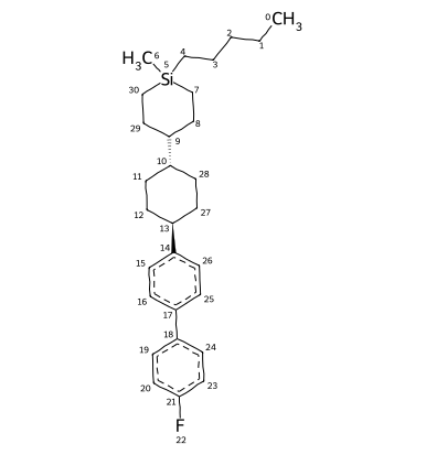 CCCCC[Si]1(C)CCC([C@H]2CC[C@H](c3ccc(-c4ccc(F)cc4)cc3)CC2)CC1